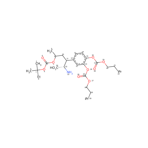 CCC(C)(C)OC(=O)OC(C)CC(c1ccc(OC(=O)OCCC(C)C)c(OC(=O)OCCC(C)C)c1)[C@H](N)C(=O)O